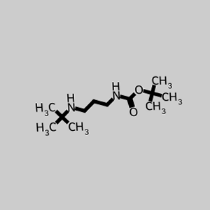 CC(C)(C)NCCCNC(=O)OC(C)(C)C